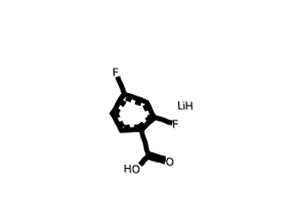 O=C(O)c1ccc(F)cc1F.[LiH]